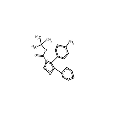 CC(C)(C)OC(=O)n1nnc(-c2ccccc2)c1-c1ccc(N)cc1